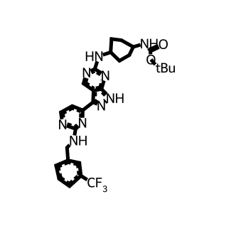 CC(C)(C)OC(=O)NC1CCC(Nc2ncc3c(-c4ccnc(NCc5cccc(C(F)(F)F)c5)n4)n[nH]c3n2)CC1